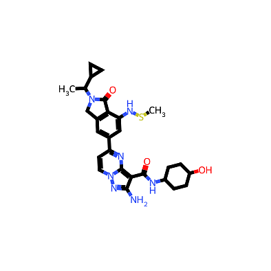 CSNc1cc(-c2ccn3nc(N)c(C(=O)NC4CCC(O)CC4)c3n2)cc2c1C(=O)N(C(C)C1CC1)C2